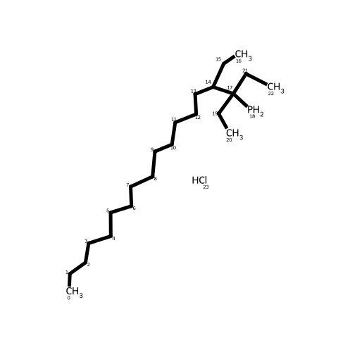 CCCCCCCCCCCCCCC(CC)C(P)(CC)CC.Cl